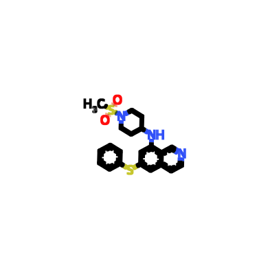 CS(=O)(=O)N1CCC(Nc2cc(Sc3ccccc3)cc3ccncc23)CC1